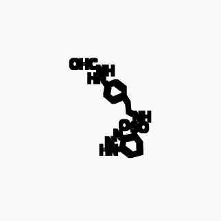 O=CNNc1ccc(CCNS(=O)(=O)c2cccc3[nH]nnc23)cc1